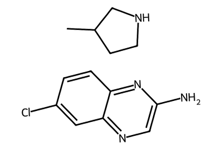 CC1CCNC1.Nc1cnc2cc(Cl)ccc2n1